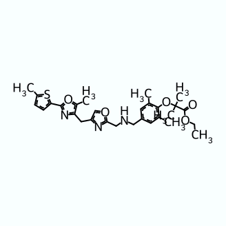 CCOC(=O)C(C)(C)Oc1c(C)cc(CNCc2nc(Cc3nc(-c4ccc(C)s4)oc3C)co2)cc1C